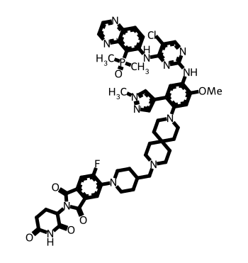 COc1cc(N2CCC3(CCN(CC4CCN(c5cc6c(cc5F)C(=O)N(C5CCC(=O)NC5=O)C6=O)CC4)CC3)CC2)c(-c2cnn(C)c2)cc1Nc1ncc(Cl)c(Nc2ccc3nccnc3c2P(C)(C)=O)n1